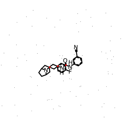 N#Cc1cccc(NC(=O)NCCCN2C3CCC2CC(Cc2ccc(F)cc2)C3)c1